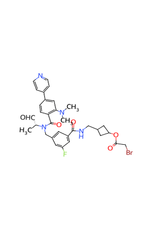 C[C@H](C=O)N(Cc1cc(F)cc(C(=O)NCC2CC(OC(=O)CBr)C2)c1)C(=O)c1ccc(-c2ccncc2)cc1N(C)C